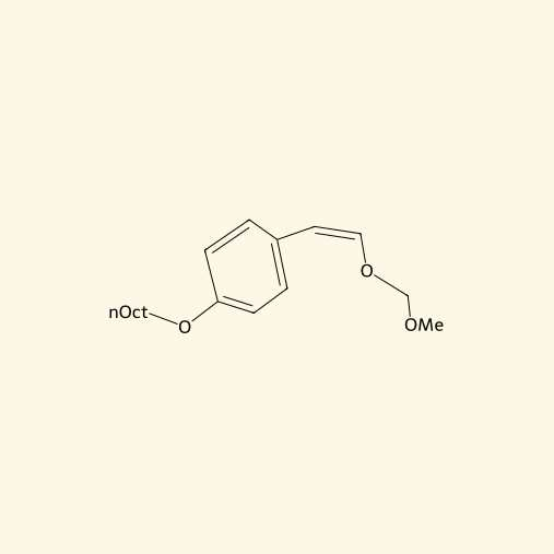 CCCCCCCCOc1ccc(/C=C\OCOC)cc1